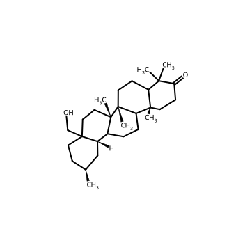 C[C@H]1CCC2(CO)CC[C@@]3(C)C(CCC4[C@@]5(C)CCC(=O)C(C)(C)C5CC[C@]43C)[C@@H]2C1